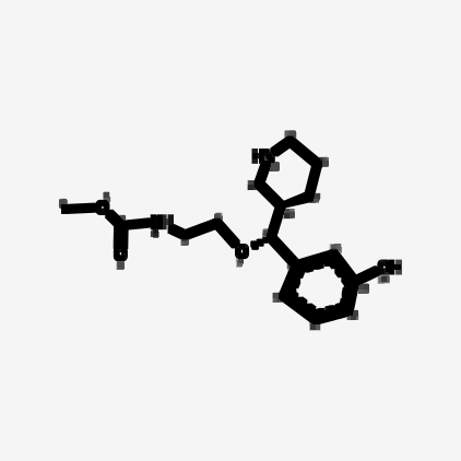 COC(=O)NCCO[C@@H](c1cccc(O)c1)[C@@H]1CCCNC1